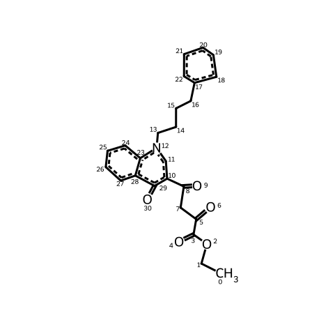 CCOC(=O)C(=O)CC(=O)c1cn(CCCCc2ccccc2)c2ccccc2c1=O